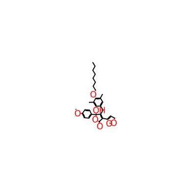 CCCCCCCCOc1c(C)cc(CC2=C(C3=CCOO3)C(=O)OC2(O)c2ccc(OC)cc2)cc1C